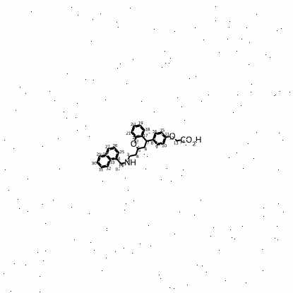 C[C@@H](NCCC1CC(c2ccc(OCC(=O)O)cc2)c2ccccc2O1)c1cccc2ccccc12